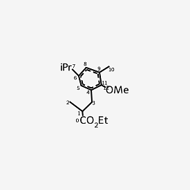 CCOC(=O)C(C)Cc1cc(C(C)C)cc(C)c1OC